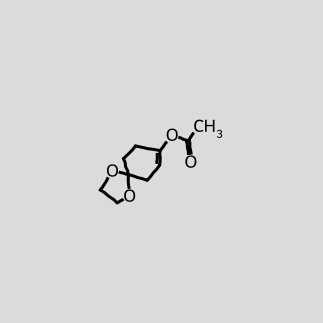 CC(=O)OC1=CCC2(CC1)OCCO2